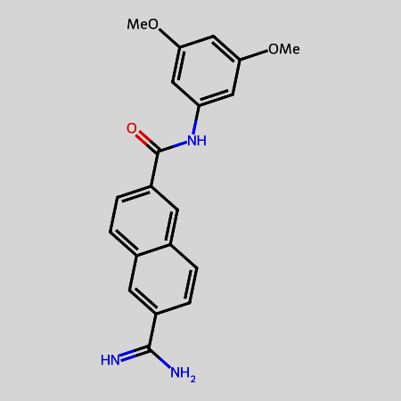 COc1cc(NC(=O)c2ccc3cc(C(=N)N)ccc3c2)cc(OC)c1